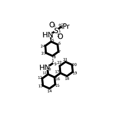 CC(C)S(=O)(=O)N[C@H]1CC[C@H](CNC2CCCCC2C2CCCCC2)CC1